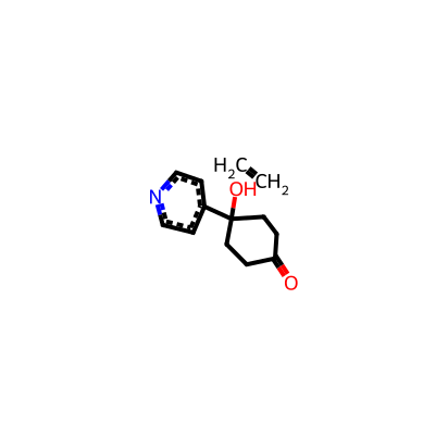 C=C.O=C1CCC(O)(c2ccncc2)CC1